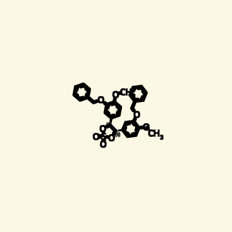 COc1ccc([C@@H]2OS(=O)(=O)O[C@H]2c2ccc(OC)c(OCc3ccccc3)c2)cc1OCc1ccccc1